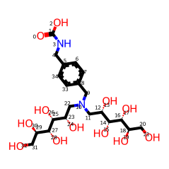 O=C(O)NCc1ccc(CN(C[C@H](O)[C@@H](O)[C@H](O)[C@H](O)CO)C[C@H](O)[C@@H](O)[C@H](O)[C@H](O)CO)cc1